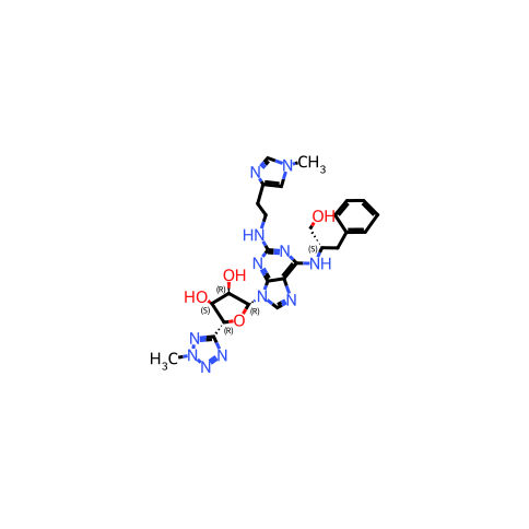 Cn1cnc(CCNc2nc(N[C@H](CO)Cc3ccccc3)c3ncn([C@@H]4O[C@H](c5nnn(C)n5)[C@@H](O)[C@H]4O)c3n2)c1